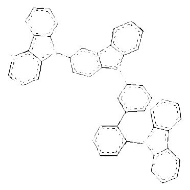 c1cc(-c2ccccc2-n2c3ccccc3c3ccccc32)cc(-n2c3ccccc3c3cc(-n4c5ccccc5c5ncccc54)ccc32)c1